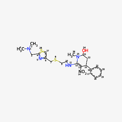 CN(C)Cc1nc(CSCCNC2=C([N+](=O)[O-])C(c3ccccc3)CC(O)N2C)cs1